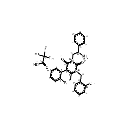 Cc1c(-c2ccccc2F)c(=O)n(C[C@H](N)c2ccccc2)c(=O)n1Cc1ccccc1Cl.O=C(O)C(F)(F)F